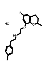 Cc1ccc(CCNCCOc2cc(F)cc3c2OC(C)CC3)cc1.Cl